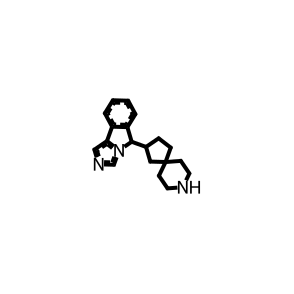 c1ccc2c(c1)-c1cncn1C2C1CCC2(CCNCC2)C1